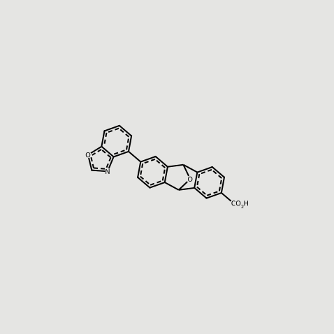 O=C(O)c1ccc2c(c1)C1OC2c2cc(-c3cccc4ocnc34)ccc21